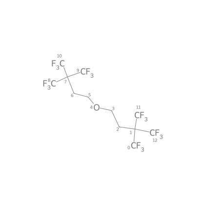 FC(F)(F)C(CCOCCC(C(F)(F)F)(C(F)(F)F)C(F)(F)F)(C(F)(F)F)C(F)(F)F